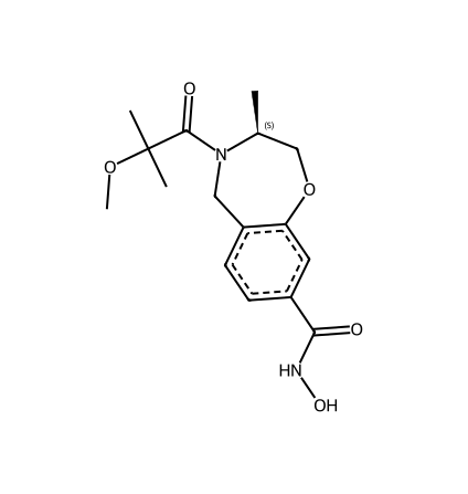 COC(C)(C)C(=O)N1Cc2ccc(C(=O)NO)cc2OC[C@@H]1C